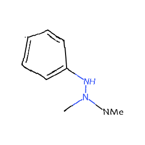 CNN(C)Nc1cc[c]cc1